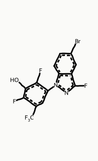 Oc1c(F)c(-n2nc(F)c3cc(Br)ccc32)cc(C(F)(F)F)c1F